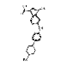 Cn1cc(C(N)=O)c2ccc(Nc3ccc(N4CCC(C(F)(F)F)CC4)cc3)cc21